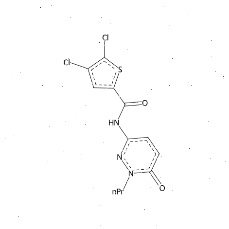 CCCn1nc(NC(=O)c2cc(Cl)c(Cl)s2)ccc1=O